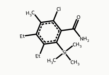 CCc1c(C)c(Cl)c(C(N)=O)c([Si](C)(C)C)c1CC